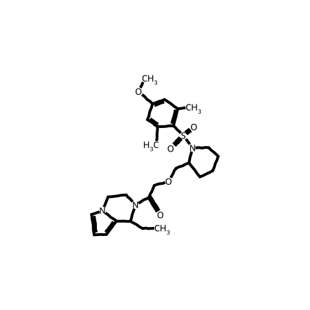 CCC1c2cccn2CCN1C(=O)COCC1CCCCN1S(=O)(=O)c1c(C)cc(OC)cc1C